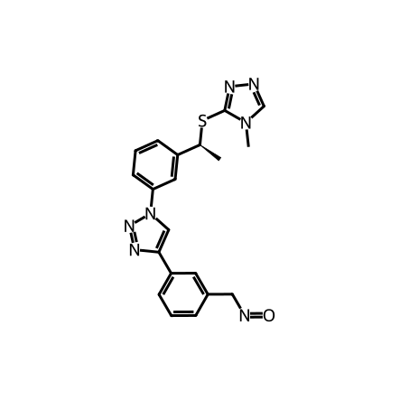 C[C@H](Sc1nncn1C)c1cccc(-n2cc(-c3cccc(CN=O)c3)nn2)c1